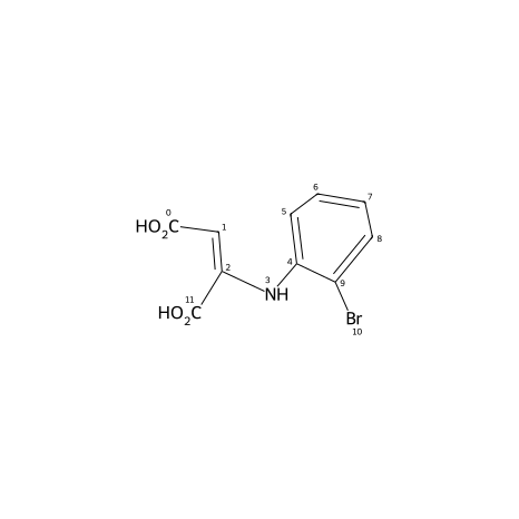 O=C(O)C=C(Nc1ccccc1Br)C(=O)O